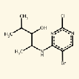 CC(C)C(O)C(C)Nc1nc(Cl)ncc1Br